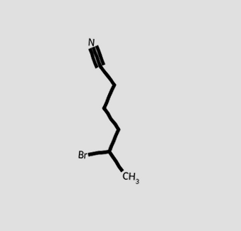 CC(Br)CCCC#N